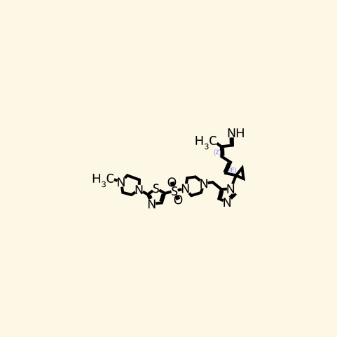 C/C(C=N)=C/C=C/C1(n2cncc2CN2CCN(S(=O)(=O)c3cnc(N4CCN(C)CC4)s3)CC2)CC1